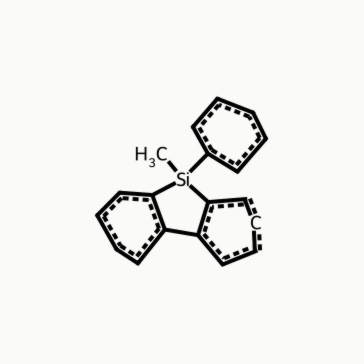 C[Si]1(c2ccccc2)c2ccccc2-c2ccccc21